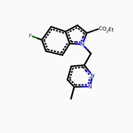 CCOC(=O)c1cc2cc(F)ccc2n1Cc1ccc(C)nn1